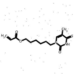 C=CC(=O)OCCCCCCn1cc(C)c(=S)[nH]c1=O